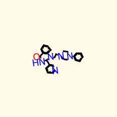 O=C1NC(c2cccnc2)N(CCN2CCN(c3ccccc3)CC2)c2ccccc21